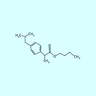 CCCCOC(=O)C(C)c1ccc(CC(C)C)cc1